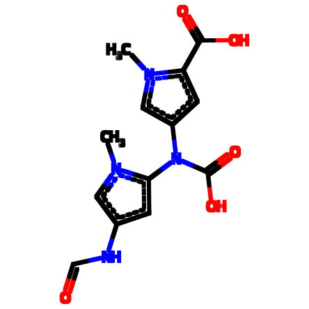 Cn1cc(N(C(=O)O)c2cc(NC=O)cn2C)cc1C(=O)O